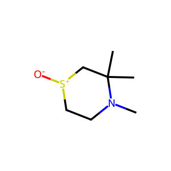 CN1CC[S+]([O-])CC1(C)C